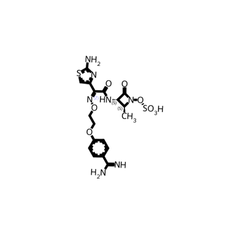 C[C@H]1[C@H](NC(=O)/C(=N\OCCOc2ccc(C(=N)N)cc2)c2csc(N)n2)C(=O)N1OS(=O)(=O)O